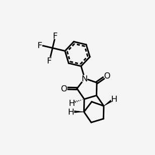 O=C1C2[C@@H]3CC[C@@H](C3)[C@H]2C(=O)N1c1cccc(C(F)(F)F)c1